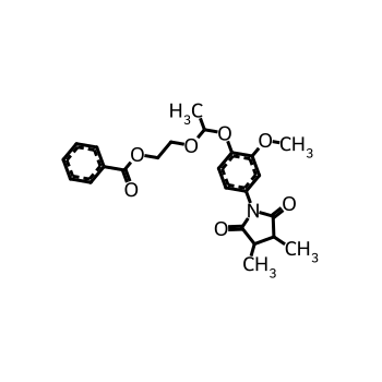 COc1cc(N2C(=O)C(C)C(C)C2=O)ccc1OC(C)OCCOC(=O)c1ccccc1